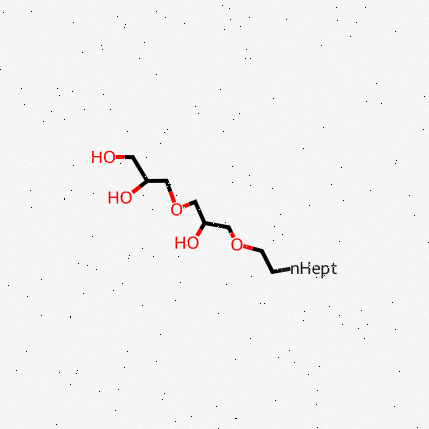 CCCCCCCCCOCC(O)COCC(O)CO